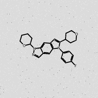 Fc1ccc(-n2c(C3CCOCC3)cc3cc4c(cnn4C4CCCCO4)cc32)cc1